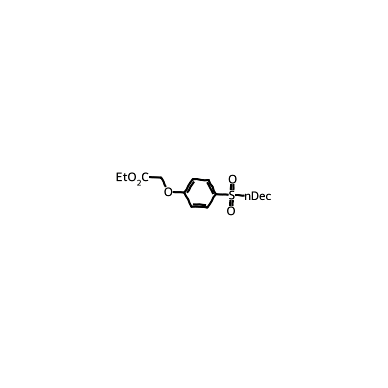 CCCCCCCCCCS(=O)(=O)c1ccc(OCC(=O)OCC)cc1